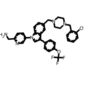 NCc1ccc(-n2cc(-c3ccc(OC(F)(F)F)cc3)c3cc(CN4CCN(Cc5ccccc5Cl)CC4)ccc32)cn1